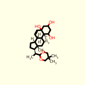 CC(C1OCC(C)(C)CO1)[C@H]1CC[C@H]2[C@@H]3C=CC4(O)CC(O)CC(O)[C@]4(C)[C@H]3CC[C@]12C